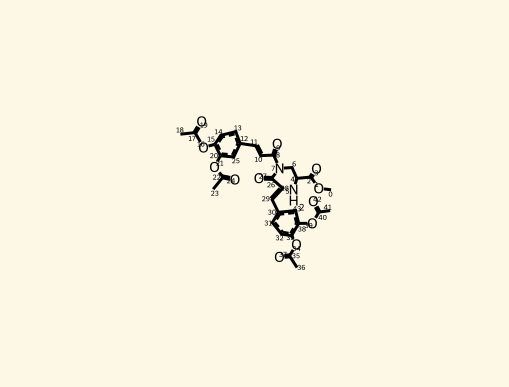 COC(=O)C(N)CN(C(=O)C=Cc1ccc(OC(C)=O)c(OC(C)=O)c1)C(=O)C=Cc1ccc(OC(C)=O)c(OC(C)=O)c1